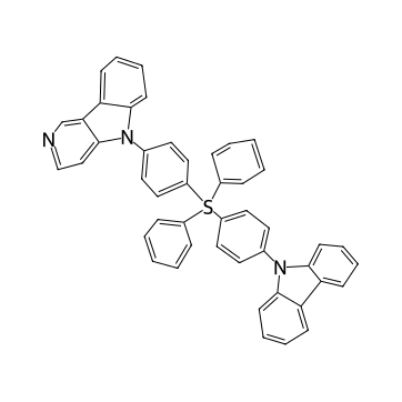 c1ccc(S(c2ccccc2)(c2ccc(-n3c4ccccc4c4ccccc43)cc2)c2ccc(-n3c4ccccc4c4cnccc43)cc2)cc1